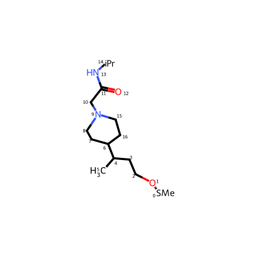 CSOCCC(C)C1CCN(CC(=O)NC(C)C)CC1